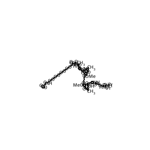 COc1cc2c(cc1OCCCCCOc1cc3c(cc1OC)C(=O)N1C=C(C)C[C@H]1[C@H](O)N3C(=O)OCc1ccc(NC(=O)[C@@H](C)NC(=O)[C@H](NC(=O)CCOCCOCCOCCOCCOCCOCCOCCOCCNC(=O)CCN3C(=O)C=CC3=O)C(C)C)cc1)N(C(=O)OCc1ccc(NC(=O)OCCOCCC(=O)N[C@@H](C(=O)NC(C)C)C(C)C)cc1)C(O)C1CC(C)=CN1C2=O